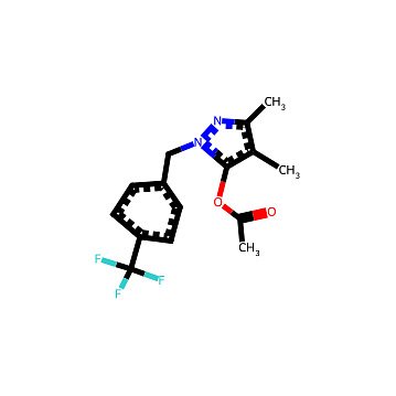 CC(=O)Oc1c(C)c(C)nn1Cc1ccc(C(F)(F)F)cc1